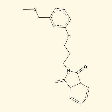 C=C1C2C=CC=CC2C(=O)N1CCCOc1cccc(CSC)c1